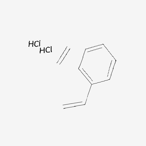 C=C.C=Cc1ccccc1.Cl.Cl